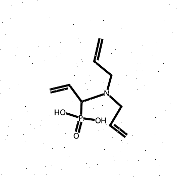 C=CCN(CC=C)C(C=C)P(=O)(O)O